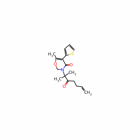 C=CCCC(=O)C(C)(C)N1COC(C)=C(c2cccs2)C1=O